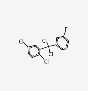 Fc1cccc(C(Cl)(Cl)c2cc(Cl)ccc2Cl)c1